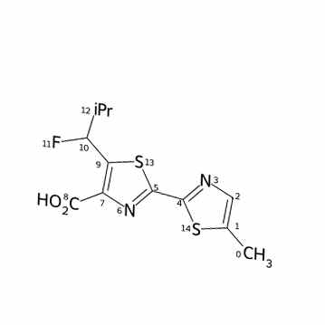 Cc1cnc(-c2nc(C(=O)O)c(C(F)C(C)C)s2)s1